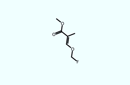 COC(=O)/C(C)=C/OCF